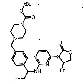 CCC1COC(=O)N1c1ccnc(NC(CF)c2ccc(CN3CCN(C(=O)OC(C)(C)C)CC3)cc2)n1